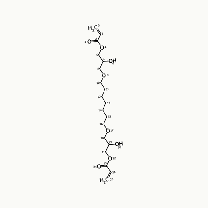 C=CC(=O)OCC(O)COCCCCCCCOCC(O)COC(=O)C=C